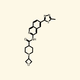 Cc1nnc(-c2ccc3cnc(NC(=O)C4CCN(C5COC5)CC4)cc3c2)s1